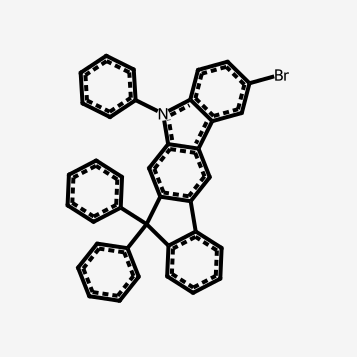 Brc1ccc2c(c1)c1cc3c(cc1n2-c1ccccc1)C(c1ccccc1)(c1ccccc1)c1ccccc1-3